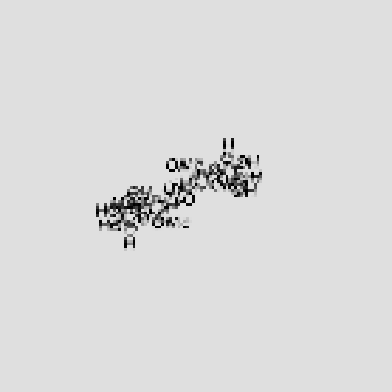 COc1cc([C@H]2OC[C@H]3[C@@H]2CO[C@@H]3c2cc(OC)c(O[C@@H]3O[C@H](CO)[C@@H](O)[C@H](O)[C@H]3O)c(OC)c2)cc(OC)c1O[C@@H]1O[C@H](CO)[C@@H](O)[C@H](O)[C@H]1O